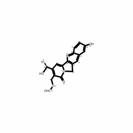 CC[C@H](O)c1cc2n(c(=O)c1COC=O)Cc1cc3cc(O)ccc3nc1-2